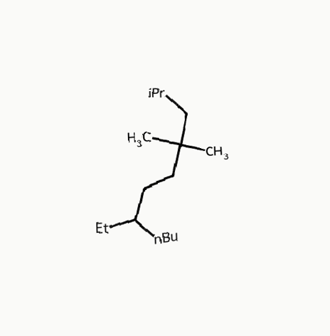 [CH2]C(C)CC(C)(C)CCC(CC)CCCC